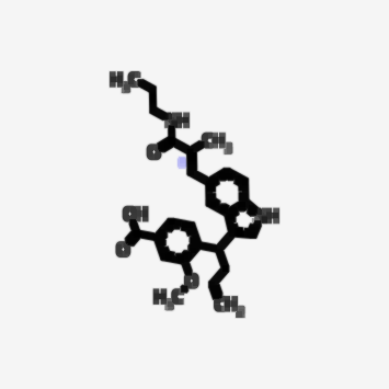 C=CCC(c1ccc(C(=O)O)cc1OC)c1c[nH]c2ccc(/C=C(\C)C(=O)NCCC)cc12